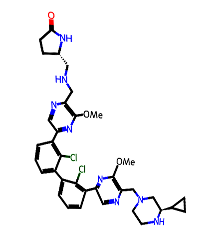 COc1nc(-c2cccc(-c3cccc(-c4cnc(CN5CCN[C@H](C6CC6)C5)c(OC)n4)c3Cl)c2Cl)cnc1CNC[C@@H]1CCC(=O)N1